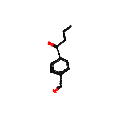 CCCC(=O)c1ccc(C=O)cc1